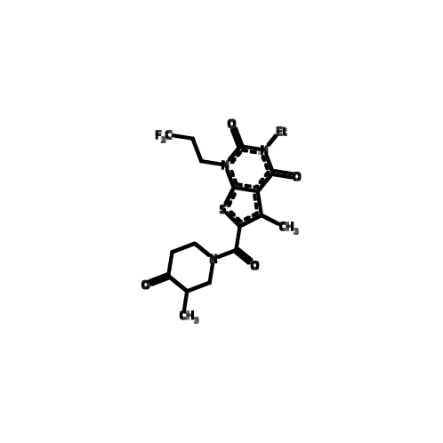 CCn1c(=O)c2c(C)c(C(=O)N3CCC(=O)C(C)C3)sc2n(CCC(F)(F)F)c1=O